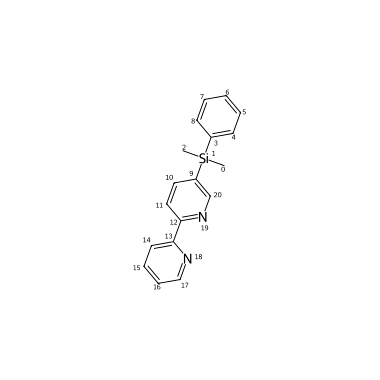 C[Si](C)(c1ccccc1)c1ccc(-c2ccccn2)nc1